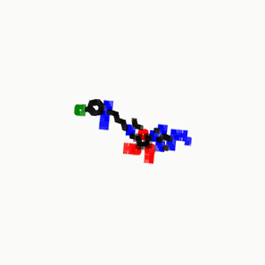 CC(C)N(CCCCc1nc2ccc(Cl)cc2[nH]1)C[C@H]1O[C@@H](n2cnc3c(N)ncnc32)[C@H](O)[C@@H]1O